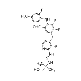 Cc1ccc(Nc2c(C=O)cc(Cc3ccnc(NSNC(C)(C)CO)c3F)c(F)c2F)c(F)c1